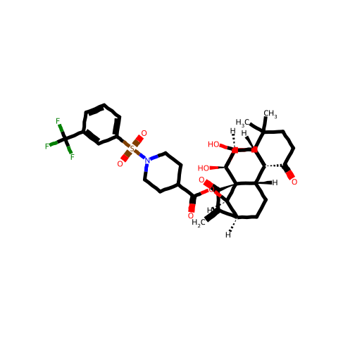 C=C1C(=O)[C@]23[C@H](OC(=O)C4CCN(S(=O)(=O)c5cccc(C(F)(F)F)c5)CC4)[C@H]1CC[C@H]2[C@@]12CO[C@]3(O)[C@@H](O)[C@@H]1C(C)(C)CCC2=O